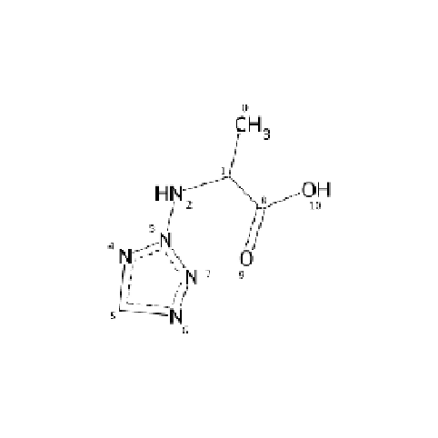 CC(Nn1ncnn1)C(=O)O